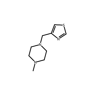 CN1CCN(Cc2cscn2)CC1